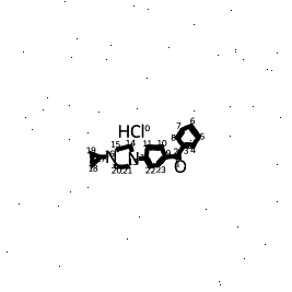 Cl.O=C(c1ccccc1)c1ccc(N2CCN(C3CC3)CC2)cc1